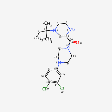 CCC(C)(C)N1CCN[C@@H](C(=O)N2CCN(c3ccc(Cl)c(Cl)c3)CC2)C1